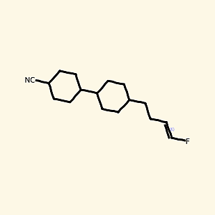 N#CC1CCC(C2CCC(CC/C=C/F)CC2)CC1